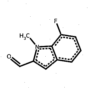 Cn1c(C=O)cc2cccc(F)c21